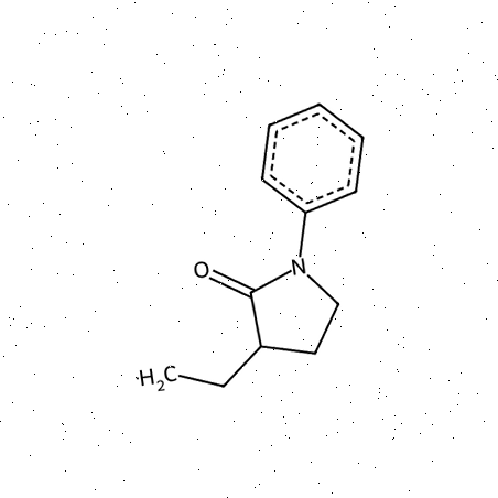 [CH2]CC1CCN(c2ccccc2)C1=O